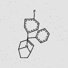 Fc1ccc(C2=CC3CCC(C2)N3Cc2ccccc2)cc1